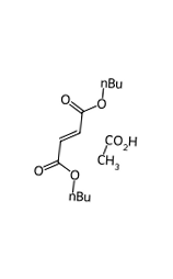 CC(=O)O.CCCCOC(=O)C=CC(=O)OCCCC